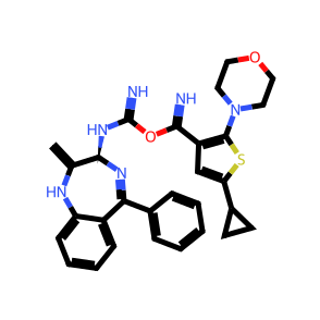 C=C1Nc2ccccc2C(c2ccccc2)=N[C@@H]1NC(=N)OC(=N)c1cc(C2CC2)sc1N1CCOCC1